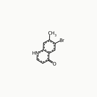 Cc1cc2[nH]ccc(=O)c2cc1Br